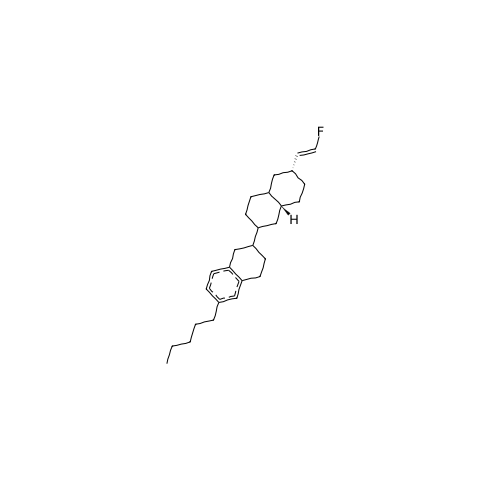 CCCCCc1ccc2c(c1)CCC(C1CCC3C[C@H](C=CF)CC[C@@H]3C1)C2